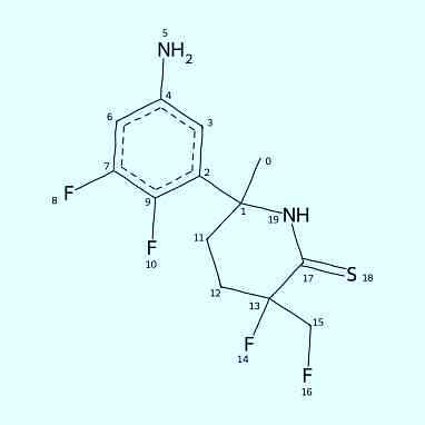 CC1(c2cc(N)cc(F)c2F)CCC(F)(CF)C(=S)N1